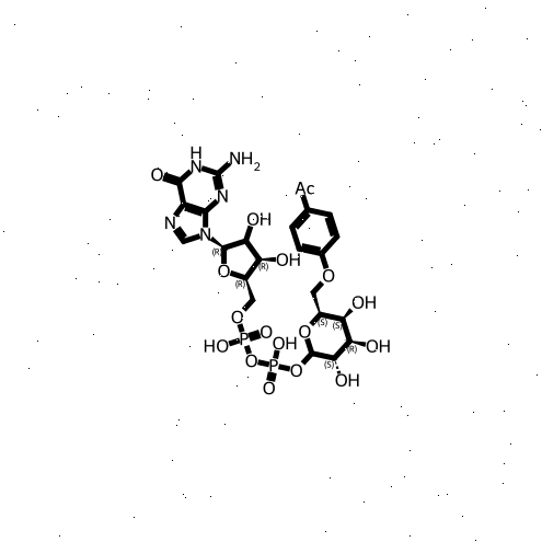 CC(=O)c1ccc(OC[C@@H]2OC(OP(=O)(O)OP(=O)(O)OC[C@H]3O[C@@H](n4cnc5c(=O)[nH]c(N)nc54)C(O)[C@H]3O)[C@@H](O)[C@H](O)[C@@H]2O)cc1